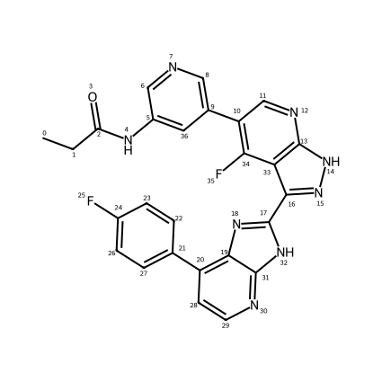 CCC(=O)Nc1cncc(-c2cnc3[nH]nc(-c4nc5c(-c6ccc(F)cc6)ccnc5[nH]4)c3c2F)c1